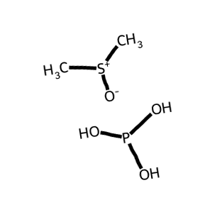 C[S+](C)[O-].OP(O)O